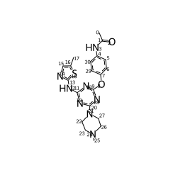 CC(=O)Nc1ccc(Oc2nc(Nc3ncc(C)s3)nc(N3CCN(C)CC3)n2)cc1